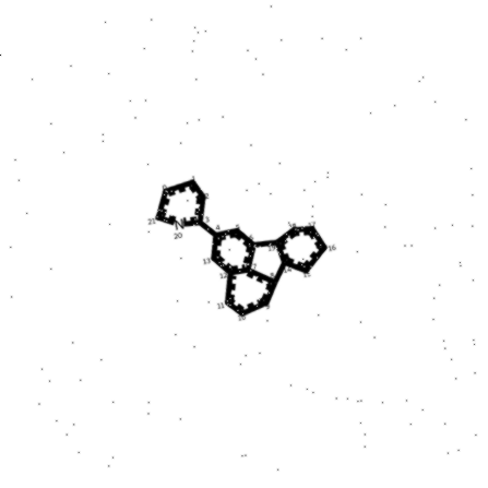 c1ccc(-c2cc3c4c(cccc4c2)-c2ccccc2-3)nc1